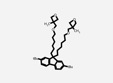 CC1(COCCCCCCC2(CCCCCCOCC3(C)COC3)c3cc(C(C)(C)C)ccc3-c3ccc(C(C)(C)C)cc32)COC1